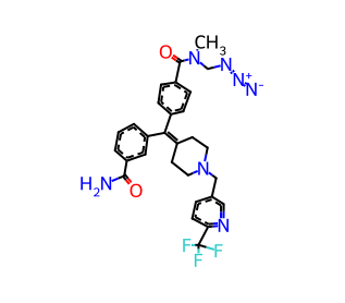 CN(CN=[N+]=[N-])C(=O)c1ccc(C(=C2CCN(Cc3ccc(C(F)(F)F)nc3)CC2)c2cccc(C(N)=O)c2)cc1